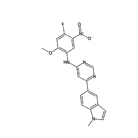 COc1cc(F)c([N+](=O)[O-])cc1Nc1cc(-c2ccc3c(ccn3C)c2)ncn1